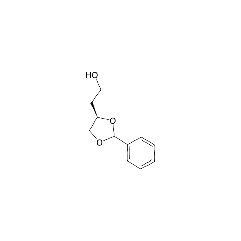 OCC[C@@H]1COC(c2ccccc2)O1